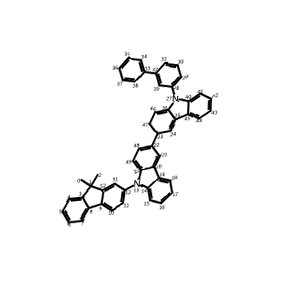 CC1(C)c2ccccc2-c2ccc(-n3c4ccccc4c4cc(C5C=c6c(n(-c7cccc(-c8ccccc8)c7)c7ccccc67)=CC5)ccc43)cc21